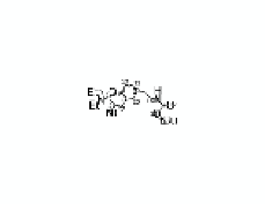 CCN(CC)C(=O)C(C#N)=Cc1cccc(CCNC(=O)OC(C)(C)C)c1